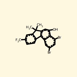 CC1(C)c2cc(C(F)(F)F)ccc2-c2c1cc(O)c1c(Br)cc(Br)cc21